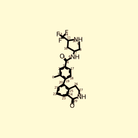 Cc1cc(C(=O)NC2CCNC(C(F)(F)F)C2)ccc1-c1cccc2c1CCNC2=O